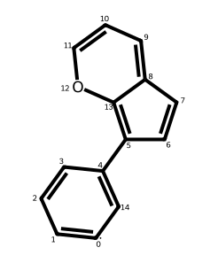 [c]1cccc(-c2ccc3cccoc2-3)c1